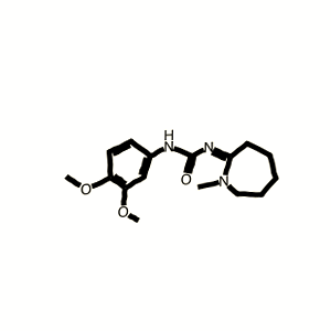 COc1ccc(NC(=O)/N=C2/CCCCCN2C)cc1OC